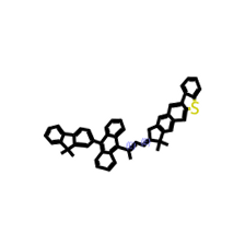 C/C(=C\C=C1/Cc2cc3cc4c(cc3cc2C1(C)C)sc1ccccc14)c1c2ccccc2c(-c2ccc3c(c2)C(C)(C)c2ccccc2-3)c2ccccc12